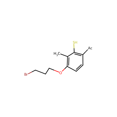 CC(=O)c1ccc(OCCCBr)c(C)c1S